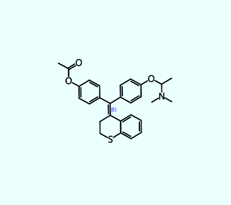 CC(=O)Oc1ccc(/C(=C2\CCSc3ccccc32)c2ccc(OC(C)N(C)C)cc2)cc1